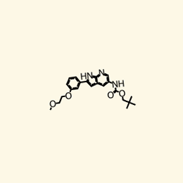 COCCOc1cccc(-c2cc3cc(NC(=O)OCC(C)(C)C)cnc3[nH]2)c1